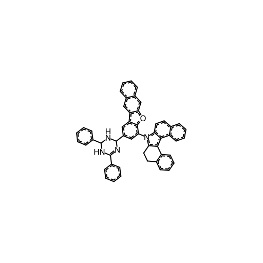 c1ccc(C2=NC(c3cc(-n4c5c(c6c7ccccc7ccc64)-c4ccccc4CC5)c4oc5cc6ccccc6cc5c4c3)NC(c3ccccc3)N2)cc1